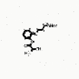 C=C(C)C(=O)Oc1ccccc1OCCCCCCCCCCCC